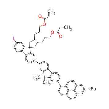 C=CC(=O)OCCCCCC1(CCCCCOC(=O)C=C)c2cc(I)ccc2-c2ccc(-c3ccc4c(c3)C(C)(C)c3cc(-c5ccc6ccc7cc(C(C)(C)C)cc8ccc5c6c78)ccc3-4)cc21